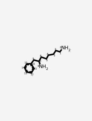 NCCCCCCC(N)Cc1ccccc1